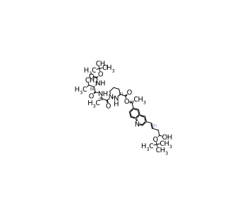 CC(C)[C@H](NC(=O)OC(C)(C)C)C(=O)N[C@@H](C)C(=O)N1CCC[C@@H](C(=O)O[C@H](C)c2ccc3ncc(/C=C/CC(O)OC(C)(C)C)cc3c2)N1